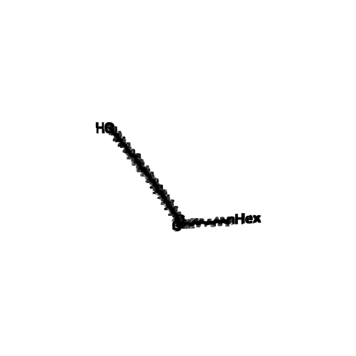 CCCCCCC=CCCCCCCCCCCCC(=O)OCCCCCCCCCCCCCCCCCCCCCCCCCCCCCCCCO